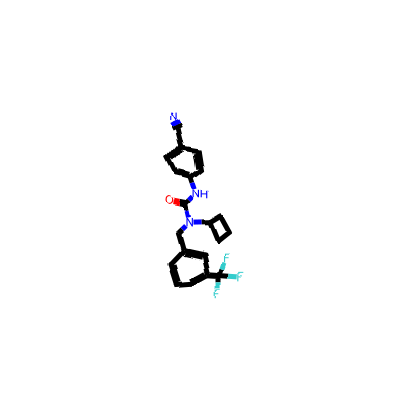 N#Cc1ccc(NC(=O)N(Cc2cccc(C(F)(F)F)c2)C2CCC2)cc1